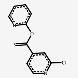 S=C(Oc1ccccn1)c1ccnc(Cl)c1